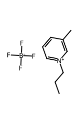 CCC[n+]1cccc(C)c1.F[B-](F)(F)F